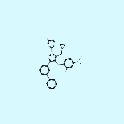 N[S+]([O-])c1ccc(Cc2c(-c3cccc(-c4ccccc4)c3)nn(-c3nc(C(=O)O)cs3)c2CC2CC2)c(F)c1